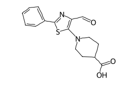 O=Cc1nc(-c2ccccc2)sc1N1CCC(C(=O)O)CC1